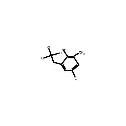 Cc1cc(Cl)cc(CC(Cl)(Cl)Cl)c1N